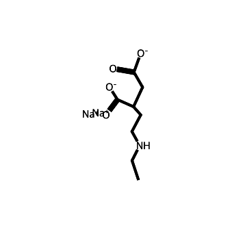 CCNCCC(CC(=O)[O-])C(=O)[O-].[Na+].[Na+]